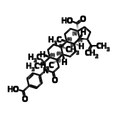 C=C(C)C1CC[C@]2(C(=O)O)CC[C@]3(C)[C@H](CC[C@@H]4[C@@]5(C)CC(=O)N(c6ccc(C(=O)O)cc6)C(C)(C)[C@@H]5CC[C@]43C)[C@@H]12